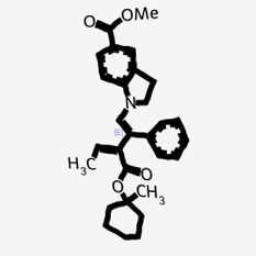 CC=C(C(=O)OC1(C)CCCCC1)/C(=C/N1CCc2cc(C(=O)OC)ccc21)c1ccccc1